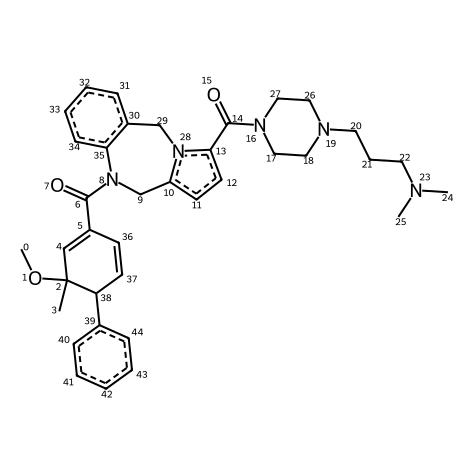 COC1(C)C=C(C(=O)N2Cc3ccc(C(=O)N4CCN(CCCN(C)C)CC4)n3Cc3ccccc32)C=CC1c1ccccc1